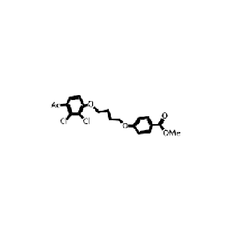 COC(=O)c1ccc(OCCCCOc2ccc(C(C)=O)c(Cl)c2Cl)cc1